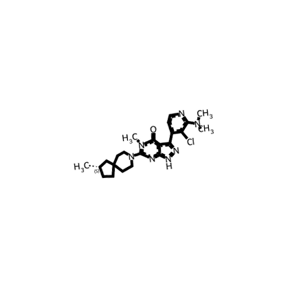 C[C@H]1CCC2(CCN(c3nc4[nH]nc(-c5ccnc(N(C)C)c5Cl)c4c(=O)n3C)CC2)C1